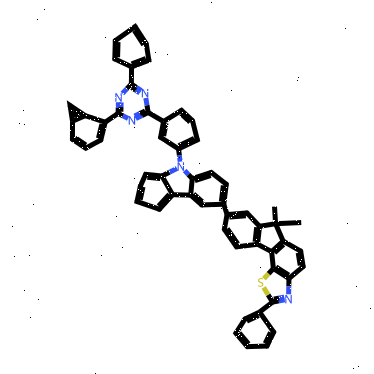 CC1(C)c2cc(-c3ccc4c(c3)c3ccccc3n4-c3cccc(-c4nc(-c5ccccc5)nc(-c5cccc6c5=C=6)n4)c3)ccc2-c2c1ccc1nc(-c3ccccc3)sc21